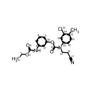 CCOC(=O)Nc1cccc(OC(=O)N(CCC#N)c2ccc(C)c(Cl)c2)c1